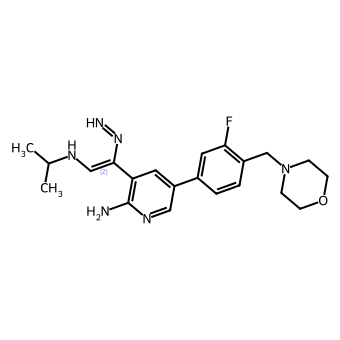 CC(C)N/C=C(\N=N)c1cc(-c2ccc(CN3CCOCC3)c(F)c2)cnc1N